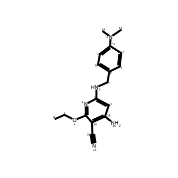 CCOc1nc(NCc2ccc(N(C)C)cc2)cc(N)c1C#N